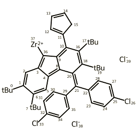 CC(C)(C)c1cc2c(cc1C(C)(C)C)=c1c(c(C3=CC=CC3)c(C(C)(C)C)c(C(C)(C)C)c1=C(c1ccc(Cl)cc1)c1ccc(Cl)cc1)[C]=2[Zr+2].[Cl-].[Cl-]